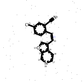 N#Cc1cc(Cl)ccc1/C=C\c1coc2cnccc12